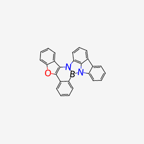 c1ccc2c(c1)B1N(c3c-2oc2ccccc32)c2cccc3c4ccccc4n1c23